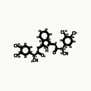 N#CN(C(=O)C=c1[nH]c(=CC(=O)N(C#N)c2ccc(Cl)c(Cl)c2)c2ccccc12)c1ccc(Cl)c(Cl)c1